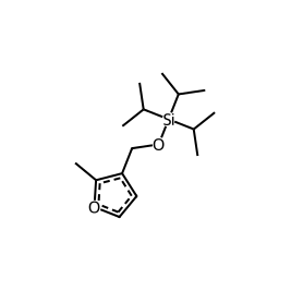 Cc1occc1CO[Si](C(C)C)(C(C)C)C(C)C